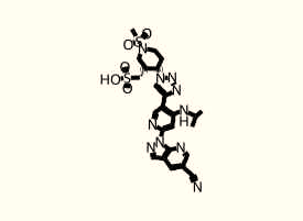 CC(C)Nc1cc(-n2ncc3cc(C#N)cnc32)ncc1-c1cn([C@H]2CCN(S(C)(=O)=O)C[C@H]2CS(=O)(=O)O)nn1